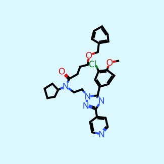 COc1ccc(-c2nc(-c3ccncc3)nn2CCN(C(=O)CCCOCc2ccccc2)C2CCCC2)cc1Cl